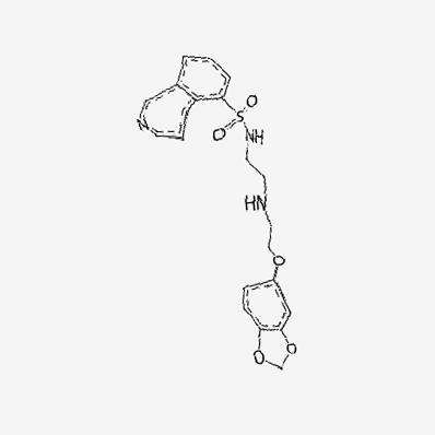 O=S(=O)(NCCNCCOc1ccc2c(c1)OCO2)c1cccc2cnccc12